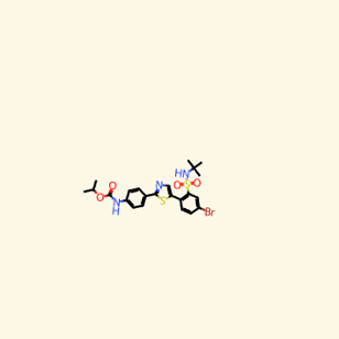 CC(C)OC(=O)Nc1ccc(-c2ncc(-c3ccc(Br)cc3S(=O)(=O)NC(C)(C)C)s2)cc1